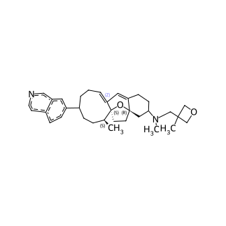 C[C@H]1CCC(c2ccc3ccncc3c2)CC/C=C2/C=C3CCC(N(C)CC4(C)COC4)C[C@]34CC[C@@]21O4